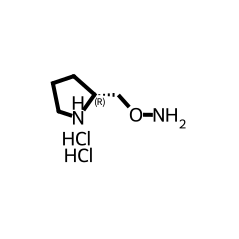 Cl.Cl.NOC[C@H]1CCCN1